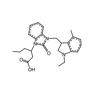 CCCC(CC(=O)O)n1c(=O)n(CC2CN(CC)c3cccc(C)c32)c2ccccc21